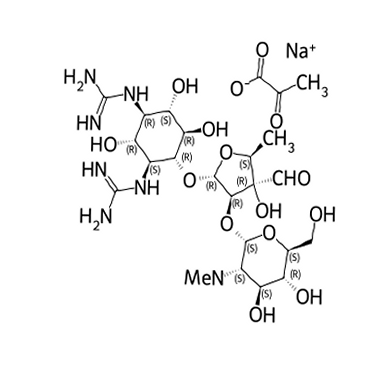 CC(=O)C(=O)[O-].CN[C@@H]1[C@H](O[C@H]2[C@H](O[C@H]3[C@H](O)[C@@H](O)[C@H](NC(=N)N)[C@@H](O)[C@@H]3NC(=N)N)O[C@@H](C)[C@]2(O)C=O)O[C@@H](CO)[C@H](O)[C@H]1O.[Na+]